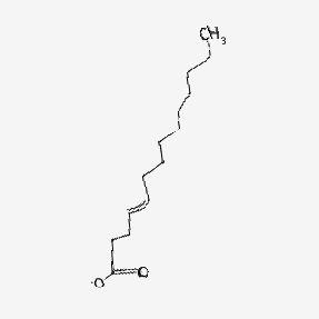 CCCCCCCCC/C=C/CCC([O])=O